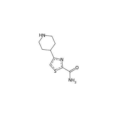 NC(=O)c1nc(C2CCNCC2)cs1